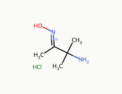 C/C(=N\O)C(C)(C)N.Cl